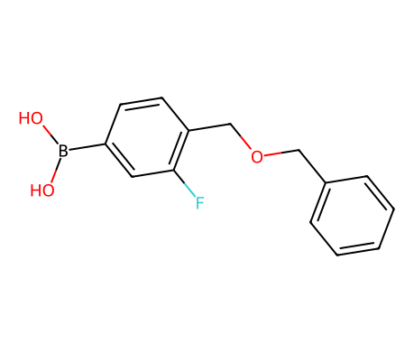 OB(O)c1ccc(COCc2ccccc2)c(F)c1